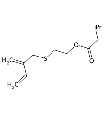 C=CC(=C)CSCCOC(=O)CC(C)C